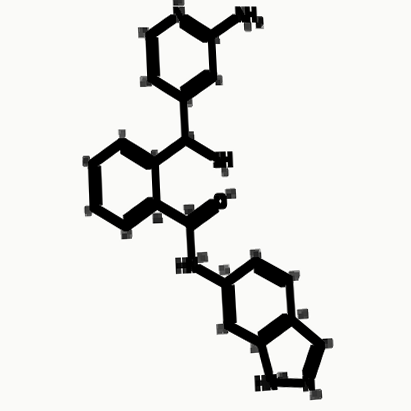 Nc1cc(C(S)c2ccccc2C(=O)Nc2ccc3cn[nH]c3c2)ccn1